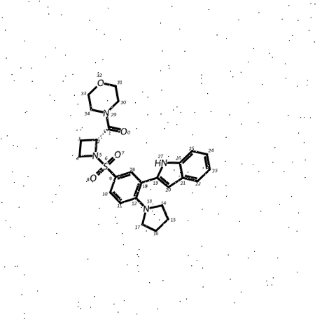 O=C([C@H]1CCN1S(=O)(=O)c1ccc(N2CCCC2)c(-c2cc3ccccc3[nH]2)c1)N1CCOCC1